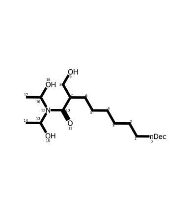 CCCCCCCCCCCCCCCCC(CO)C(=O)N(C(C)O)C(C)O